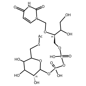 CC(=O)SCC1OC(OP(=O)(O)OP(=O)(O)OC[C@@H](OCn2ccc(=O)[nH]c2=O)C(O)CO)[C@H](O)C(O)C1O